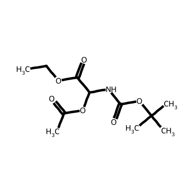 CCOC(=O)C(NC(=O)OC(C)(C)C)OC(C)=O